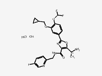 C[C@H](N)c1oc(-c2ccc(OC(F)F)c(OCC3CC3)c2)nc1C(=O)NCc1ccc(F)cn1.Cl.Cl